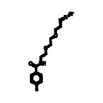 Cc1ccc(C(=O)NCCOCCOCCN=[N+]=[N-])cc1